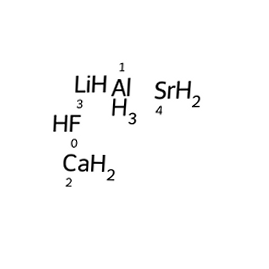 F.[AlH3].[CaH2].[LiH].[SrH2]